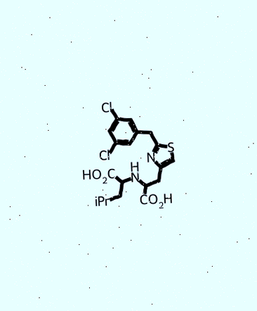 CC(C)CC(NC(Cc1csc(Cc2cc(Cl)cc(Cl)c2)n1)C(=O)O)C(=O)O